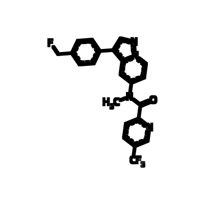 CN(C(=O)c1ccc(C(F)(F)F)cn1)c1ccn2ncc(-c3ccc(CF)cc3)c2c1